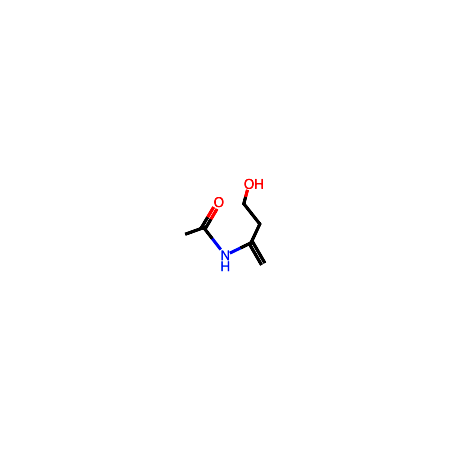 C=C(CCO)NC(C)=O